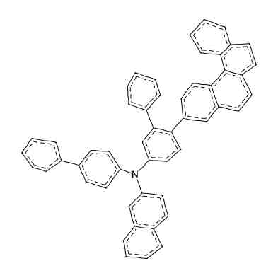 c1ccc(-c2ccc(N(c3ccc(-c4ccc5c(ccc6ccc7ccccc7c65)c4)c(-c4ccccc4)c3)c3ccc4ccccc4c3)cc2)cc1